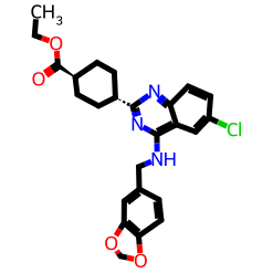 CCOC(=O)[C@H]1CC[C@H](c2nc(NCc3ccc4c(c3)OCO4)c3cc(Cl)ccc3n2)CC1